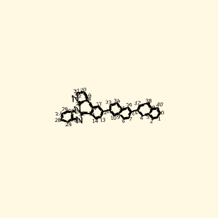 c1ccc2cc(-c3ccc4cc(-c5ccc6c(c5)c5cccnc5n5c7ccccc7nc65)ccc4c3)ccc2c1